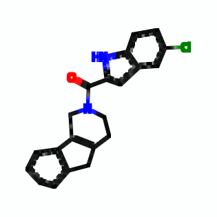 O=C(c1cc2cc(Cl)ccc2[nH]1)N1CCC2=C(C1)c1ccccc1C2